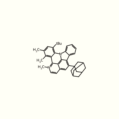 Cc1cc(C(C)(C)C)c2c(c1C)c1c3c(cc[n+]1C)cc(C14CC5CC(CC(C5)C1)C4)c1c4ccccc4n2c13